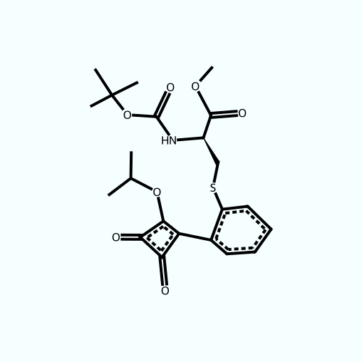 COC(=O)[C@@H](CSc1ccccc1-c1c(OC(C)C)c(=O)c1=O)NC(=O)OC(C)(C)C